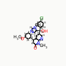 COc1cccc(-c2cc(=O)n(C)c3ncc([C@@](O)(c4ccc(Cl)cc4)c4cncn4C)cc23)c1